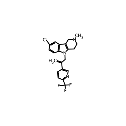 C=C(Cn1c2c(c3cc(Cl)ccc31)CN(C)CC2)c1ccc(C(F)(F)F)nc1